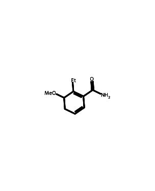 CCC1=C(C(N)=O)C=CCC1OC